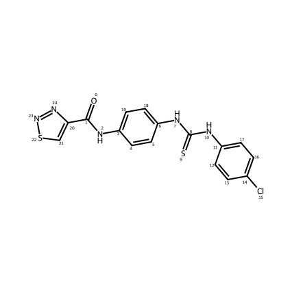 O=C(Nc1ccc(NC(=S)Nc2ccc(Cl)cc2)cc1)c1csnn1